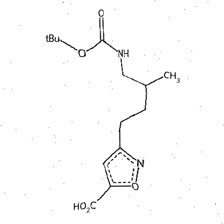 CC(CCc1cc(C(=O)O)on1)CNC(=O)OC(C)(C)C